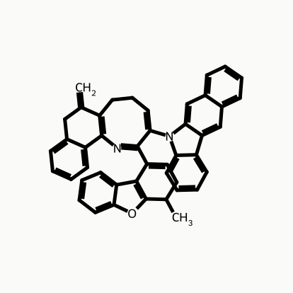 C=C1Cc2ccccc2C2=C1CC/C=C(n1c3ccccc3c3cc4ccccc4cc31)\C(C1=CCC(C)c3oc4ccccc4c31)=N/2